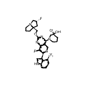 OC1(C(F)(F)F)CCCN(c2nc(OC[C@@]34CCCN3C[C@H](F)C4)nc3c(F)c(-c4c[nH]c5cccc(C(F)(F)F)c45)ncc23)C1